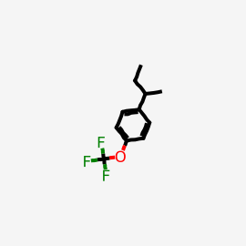 CCC(C)c1ccc(OC(F)(F)F)cc1